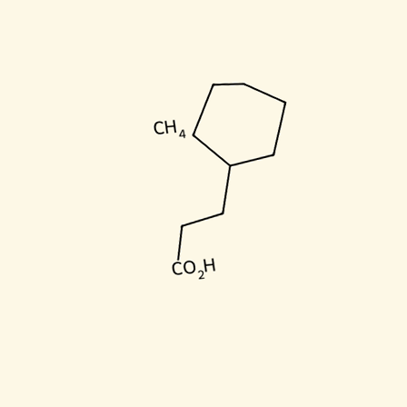 C.O=C(O)CCC1CCCCC1